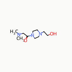 CN(C)CC(=O)N1CCN(CCO)CC1